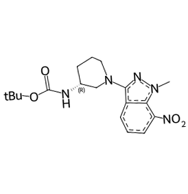 Cn1nc(N2CCC[C@@H](NC(=O)OC(C)(C)C)C2)c2cccc([N+](=O)[O-])c21